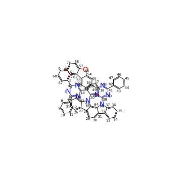 c1ccc(-c2nc(-c3ccccc3)nc(-c3ccccc3-n3c4ccccc4c4ccc5c6ccccc6n(-c6nc(-c7ccccc7)nc(-c7ccc8c(c7)oc7ccccc78)n6)c5c43)n2)cc1